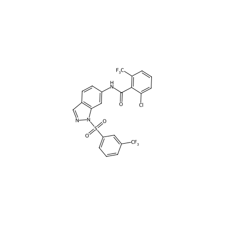 O=C(Nc1ccc2cnn(S(=O)(=O)c3cccc(C(F)(F)F)c3)c2c1)c1c(Cl)cccc1C(F)(F)F